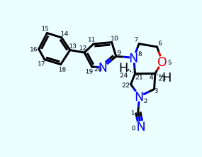 N#CN1C[C@@H]2OCCN(c3ccc(-c4ccccc4)cn3)[C@@H]2C1